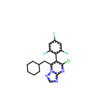 Fc1cc(F)c(-c2c(Cl)nc3ncnn3c2CC2CCCCC2)c(F)c1